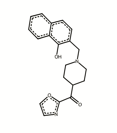 O=C(c1ncco1)C1CCN(Cc2ccc3ccccc3c2O)CC1